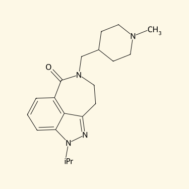 CC(C)n1nc2c3c(cccc31)C(=O)N(CC1CCN(C)CC1)CC2